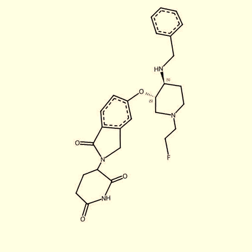 O=C1CCC(N2Cc3cc(O[C@H]4CN(CCF)CC[C@@H]4NCc4ccccc4)ccc3C2=O)C(=O)N1